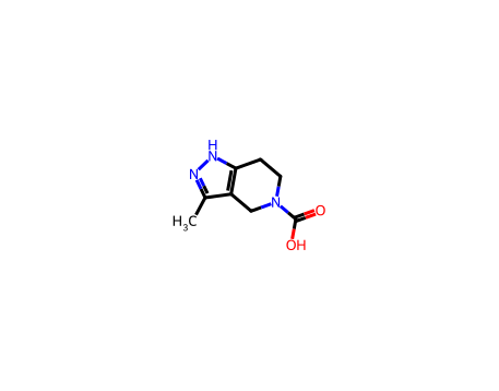 Cc1n[nH]c2c1CN(C(=O)O)CC2